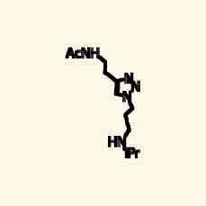 CC(=O)NCCc1cn(CCCNC(C)C)nn1